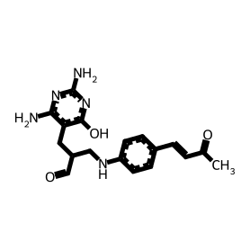 CC(=O)/C=C/c1ccc(NCC(C=O)Cc2c(N)nc(N)nc2O)cc1